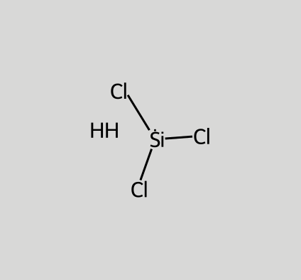 Cl[Si](Cl)Cl.[HH]